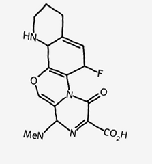 CNC1N=C(C(=O)O)C(=O)N2C1=COC1=C2C(F)C=C2CCCNC21